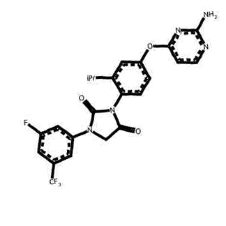 CC(C)c1cc(Oc2ccnc(N)n2)ccc1N1C(=O)CN(c2cc(F)cc(C(F)(F)F)c2)C1=O